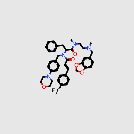 CN(CCN(C)C(=O)C(Cc1ccccc1)N(Cc1ccc(N2CCOCC2)cc1)C(=O)C=Cc1ccc(C(F)(F)F)cc1)Cc1ccc2c(c1)OCO2